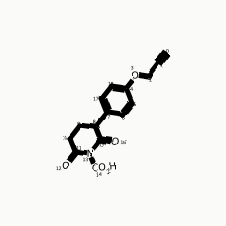 C#CCOc1ccc(C2CCC(=O)N(C(=O)O)C2=O)cc1